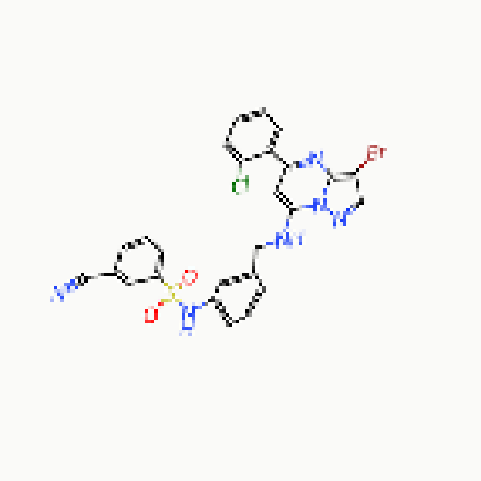 N#Cc1cccc(S(=O)(=O)Nc2cccc(CNc3cc(-c4ccccc4Cl)nc4c(Br)cnn34)c2)c1